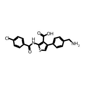 NCc1ccc(-c2csc(NC(=O)c3ccc(Cl)cc3)c2C(=O)O)cc1